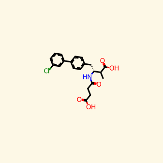 CC(C(=O)O)[C@@H](Cc1ccc(-c2cccc(Cl)c2)cc1)NC(=O)CCC(=O)O